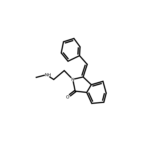 CNCCN1C(=O)c2ccccc2/C1=C/c1ccccc1